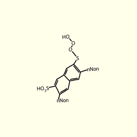 CCCCCCCCCc1cc2cc(CCCCCCCCC)c(S(=O)(=O)O)cc2cc1SOOO